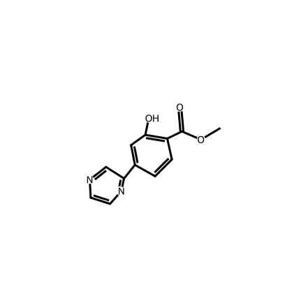 COC(=O)c1ccc(-c2cnccn2)cc1O